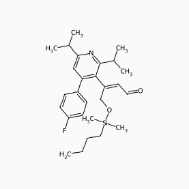 CCCC[Si](C)(C)OCC(=CC=O)c1c(-c2ccc(F)cc2)cc(C(C)C)nc1C(C)C